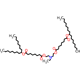 CCCCCCCCC(CCCCCCCC)OC(=O)CCCCCCC(=O)OCCN(CC)CCOC(=O)CCCCCCC(=O)OC(CCCCCCCC)CCCCCCCC